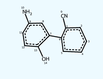 N#Cc1ccccc1-c1cc(N)ccc1O